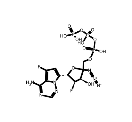 [N-]=[N+]=NC1(COP(=O)(O)OP(=O)(O)OP(=O)(O)O)O[C@@H](c2cc(F)c3c(N)ncnn23)[C@H](F)[C@@H]1O